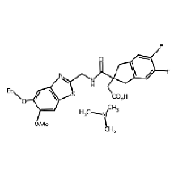 CCOc1cc2nc(CNC(=O)C3(CC(=O)O)Cc4cc(F)c(F)cc4C3)sc2cc1OC.CN(C)C